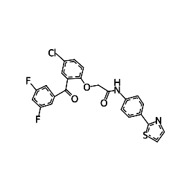 O=C(COc1ccc(Cl)cc1C(=O)c1cc(F)cc(F)c1)Nc1ccc(-c2nccs2)cc1